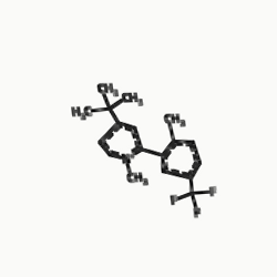 Cc1ccc(C(F)(F)F)cc1-c1cc(C(C)(C)C)cc[n+]1C